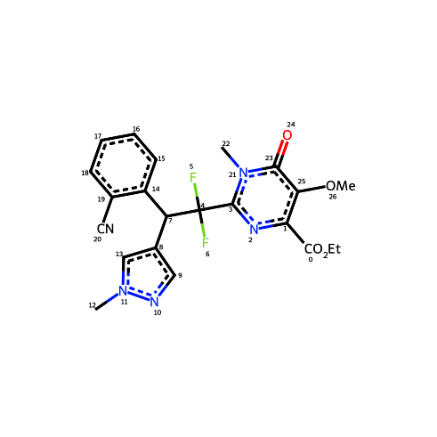 CCOC(=O)c1nc(C(F)(F)C(c2cnn(C)c2)c2ccccc2C#N)n(C)c(=O)c1OC